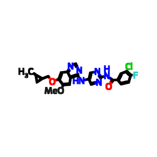 COc1cc2c(Nc3cnc(NC(=O)c4ccc(F)c(Cl)c4)nc3)ncnc2cc1OCC1CC1C